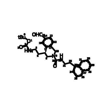 CC(C)(C)OC(=O)NCCCCN(Cc1ccc(C=O)cc1)C(=O)NCCc1cccc2ccccc12